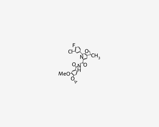 COc1cc(C(=O)NCC(=O)c2cc3c(c(-c4ccc(F)c(Cl)c4)n2)OCC3C)ccc1OC1CC1